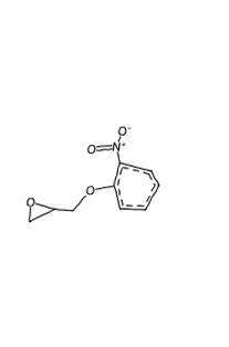 O=[N+]([O-])c1ccccc1OCC1CO1